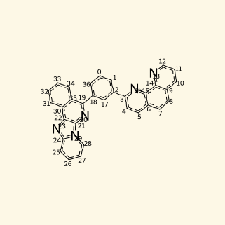 c1cc(-c2ccc3ccc4cccnc4c3n2)cc(-c2nc3c(nc4ccccn43)c3ccccc23)c1